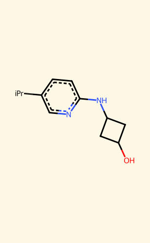 CC(C)c1ccc(NC2CC(O)C2)nc1